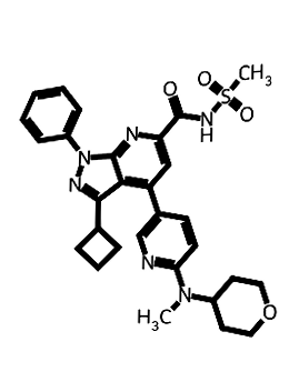 CN(c1ccc(-c2cc(C(=O)NS(C)(=O)=O)nc3c2c(C2CCC2)nn3-c2ccccc2)cn1)C1CCOCC1